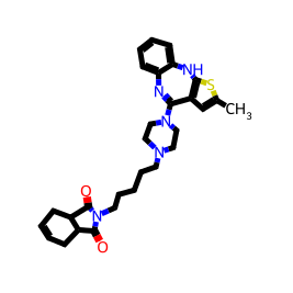 Cc1cc2c(s1)Nc1ccccc1N=C2N1CCN(CCCCCN2C(=O)C3CC=CCC3C2=O)CC1